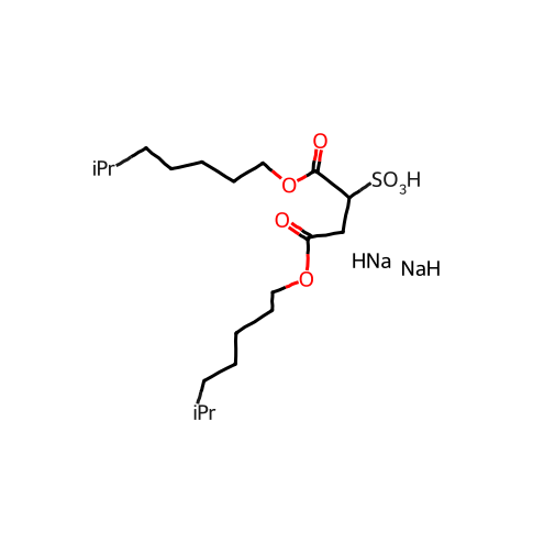 CC(C)CCCCCOC(=O)CC(C(=O)OCCCCCC(C)C)S(=O)(=O)O.[NaH].[NaH]